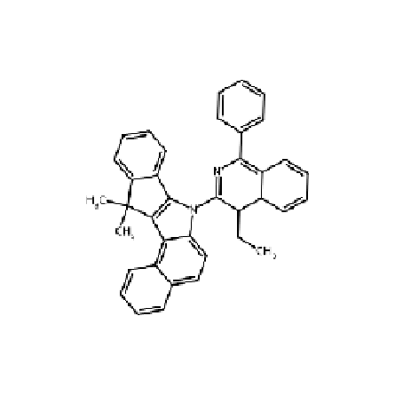 CCC1C(n2c3c(c4c5ccccc5ccc42)C(C)(C)c2ccccc2-3)=NC(c2ccccc2)=C2C=CC=CC21